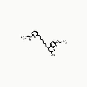 CCNc1nccc(CCCCCC[C@@H](CC(=O)O)c2cnc(OCC)nc2)n1